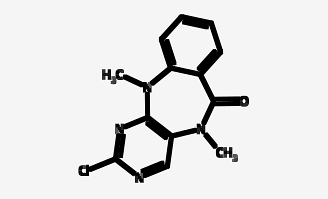 CN1C(=O)c2ccccc2N(C)c2nc(Cl)ncc21